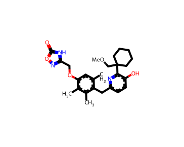 COCC1(c2nc(Cc3c(C)cc(OCc4noc(=O)[nH]4)c(C)c3C)ccc2O)CCCCC1